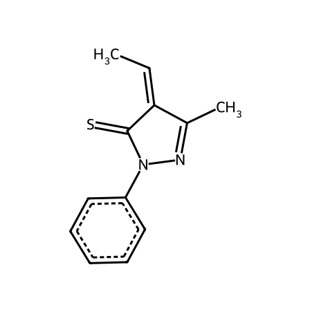 C/C=C1\C(=S)N(c2ccccc2)N=C1C